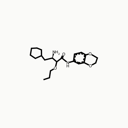 CCCOC(C(=O)Nc1ccc2c(c1)OCCO2)[C@H](N)CC1CCCCC1